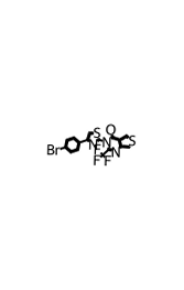 O=c1c2cscc2nc(C(F)(F)F)n1-c1nc(-c2ccc(Br)cc2)cs1